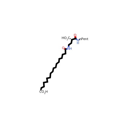 CCCCCNC(=O)[C@H](CCNC(=O)CCCCCCCCCCCCCCCCC(=O)O)C(=O)O